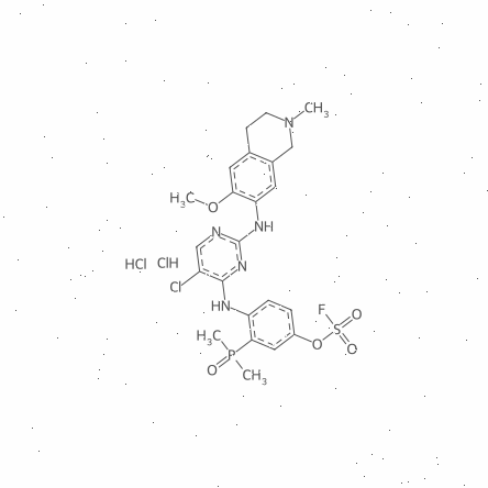 COc1cc2c(cc1Nc1ncc(Cl)c(Nc3ccc(OS(=O)(=O)F)cc3P(C)(C)=O)n1)CN(C)CC2.Cl.Cl